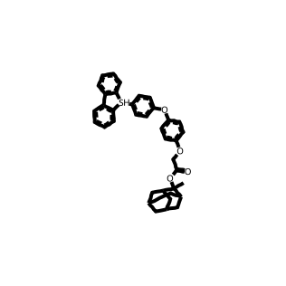 CC1(OC(=O)COc2ccc(Oc3ccc([SH]4c5ccccc5-c5ccccc54)cc3)cc2)C2CC3CC(C2)CC1C3